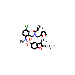 C=CC(=O)N(Cc1ccco1)Cc1cc(Cl)ccc1N(CC)S(=O)(=O)c1ccc2oc(C(=O)OCC)c(C)c2c1